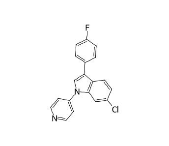 Fc1ccc(-c2cn(-c3ccncc3)c3cc(Cl)ccc23)cc1